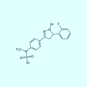 CCS(=O)(=O)N(C)c1ccc(C2=NN(C(C)=O)C(c3ccccc3F)C2)cc1